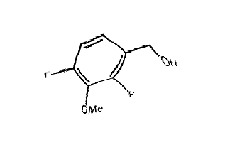 COc1c(F)ccc(CO)c1F